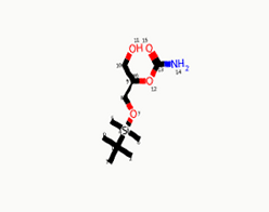 CC(C)(C)[Si](C)(C)OC[C@@H](CO)OC(N)=O